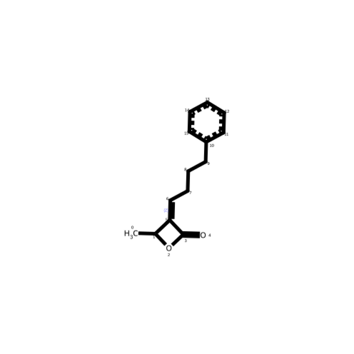 CC1OC(=O)/C1=C\CCCc1ccccc1